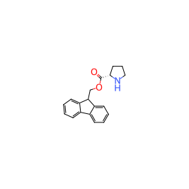 O=C(OCC1c2ccccc2-c2ccccc21)[C@@H]1CCCN1